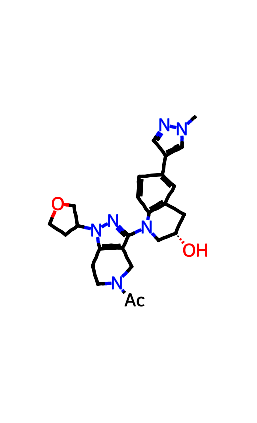 CC(=O)N1CCc2c(c(N3C[C@@H](O)Cc4cc(-c5cnn(C)c5)ccc43)nn2C2CCOC2)C1